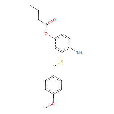 CCCC(=O)Oc1ccc(N)c(SCc2ccc(OC)cc2)c1